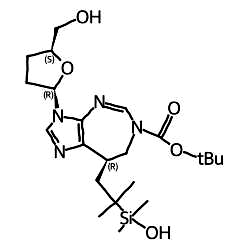 CC(C)(C)OC(=O)N1C=Nc2c(ncn2[C@H]2CC[C@@H](CO)O2)[C@H](CC(C)(C)[Si](C)(C)O)C1